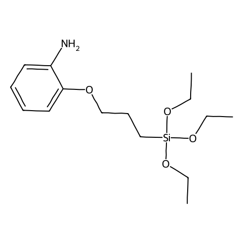 CCO[Si](CCCOc1ccccc1N)(OCC)OCC